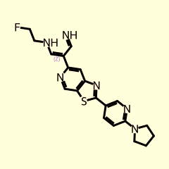 N=C/C(=C\NCCF)c1cc2nc(-c3ccc(N4CCCC4)nc3)sc2cn1